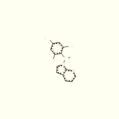 Cc1cc(C)c([S+]([O-])n2ccc3cccnc32)c(C)c1